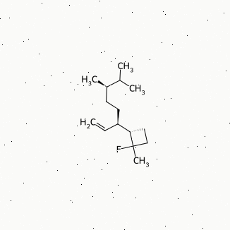 C=C[C@@H](CC[C@@H](C)C(C)C)[C@@H]1CCC1(C)F